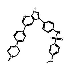 COc1ccc(S(=O)(=O)Nc2ccc(-c3c[nH]c4ncc(-c5ccc(N6CCN(C)CC6)cc5)cc34)cc2)cc1